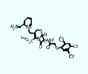 NCc1cccc[n+]1CC1=C(C(=O)O)N2C(=O)[C@H](NC(=O)CSc3cc(Cl)c(Cl)cc3Cl)[C@H]2SC1